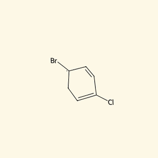 ClC1=CC[C](Br)C=C1